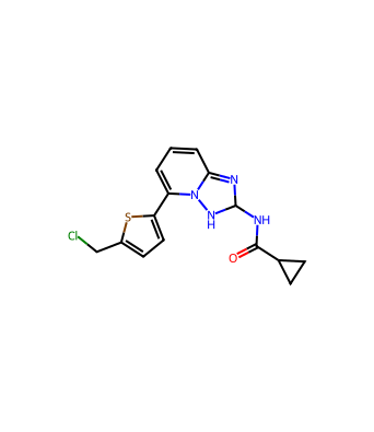 O=C(NC1N=C2C=CC=C(c3ccc(CCl)s3)N2N1)C1CC1